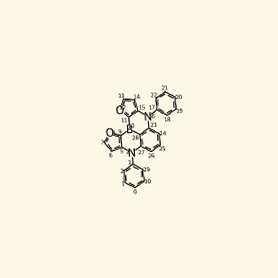 c1ccc(N2c3ccoc3B3c4occc4N(c4ccccc4)c4cccc2c43)cc1